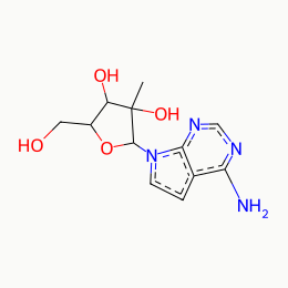 CC1(O)C(O)C(CO)OC1n1ccc2c(N)ncnc21